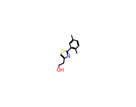 Cc1ccc(C)c(-c2nc(CCO)cs2)c1